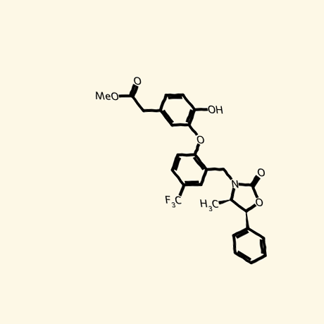 COC(=O)Cc1ccc(O)c(Oc2ccc(C(F)(F)F)cc2CN2C(=O)O[C@@H](c3ccccc3)[C@H]2C)c1